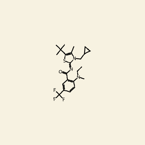 CCN(C)c1ccc(C(F)(F)F)cc1C(=O)/N=c1\sc(C(C)(C)C)c(C)n1CC1CC1